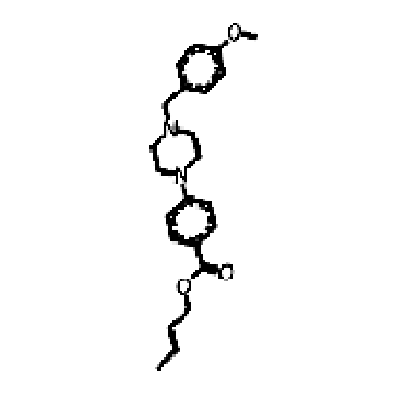 CCCCOC(=O)c1ccc(N2CCN(Cc3ccc(OC)cc3)CC2)cc1